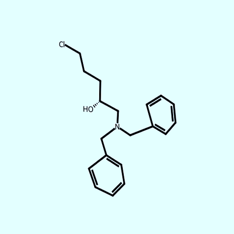 O[C@H](CCCCl)CN(Cc1ccccc1)Cc1ccccc1